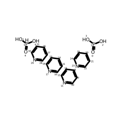 O=[PH](O)O.O=[PH](O)O.c1ccncc1.c1ccncc1.c1ccncc1.c1ccncc1